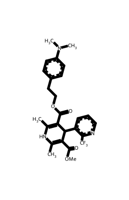 COC(=O)C1=C(C)NC(C)=C(C(=O)OCCc2ccc(N(C)C)cc2)C1c1cccnc1C(F)(F)F